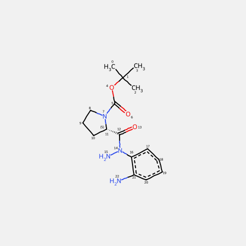 CC(C)(C)OC(=O)N1CCC[C@H]1C(=O)N(N)c1ccccc1N